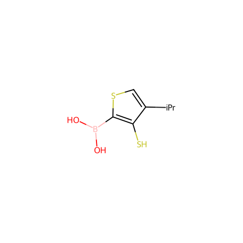 CC(C)c1csc(B(O)O)c1S